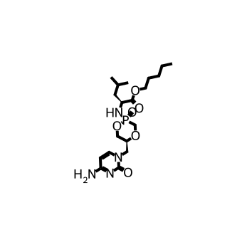 CCCCCOC(=O)[C@H](CC(C)C)NP1(=O)CO[C@@H](Cn2ccc(N)nc2=O)CO1